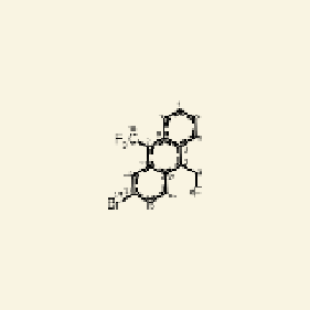 FCc1c2ccccc2c(C(F)(F)F)c2cc(Br)ccc12